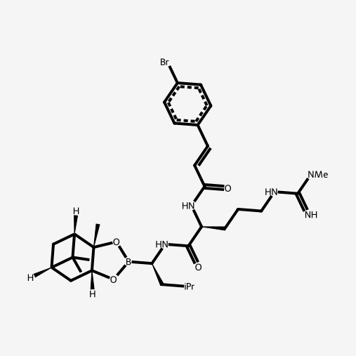 CNC(=N)NCCC[C@H](NC(=O)/C=C/c1ccc(Br)cc1)C(=O)N[C@@H](CC(C)C)B1O[C@@H]2C[C@@H]3C[C@@H](C3(C)C)[C@]2(C)O1